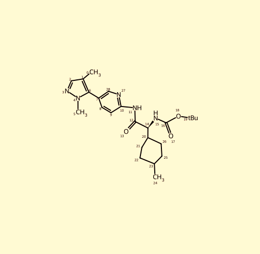 Cc1cnn(C)c1-c1ccc(NC(=O)[C@@H](NC(=O)OC(C)(C)C)C2CCC(C)CC2)nc1